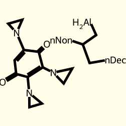 CCCCCCCCCCCC([CH2][AlH2])CCCCCCCCC.O=C1C=C(N2CC2)C(=O)C(N2CC2)=C1N1CC1